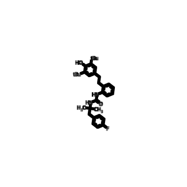 CC(C)(Cc1ccc(F)cc1)NC(=O)Nc1ccccc1CCc1cc(C(C)(C)C)c(O)c(C(C)(C)C)c1